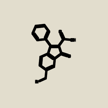 O=C(O)C1=C(c2ccccc2)c2ccc(CBr)cc2C1=O